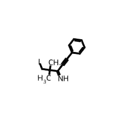 CC(C)(CI)C(=N)C#Cc1ccccc1